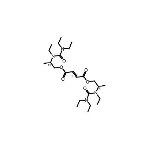 CCN(CC)C(=O)N(CC)[C@H](C)COC(=O)/C=C/C(=O)OC[C@@H](C)N(CC)C(=O)N(CC)CC